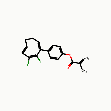 C=C(C)C(=O)Oc1ccc(C2=C/CC/C=C/C(F)=C\2F)cc1